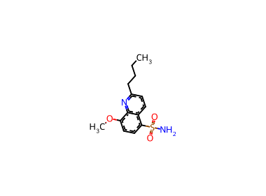 CCCCc1ccc2c(S(N)(=O)=O)ccc(OC)c2n1